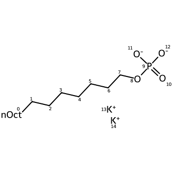 CCCCCCCCCCCCCCCOP(=O)([O-])[O-].[K+].[K+]